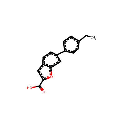 CCc1ccc(-c2ccc3cc(C(=O)O)oc3c2)cc1